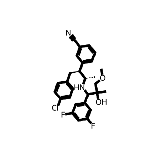 COCC(C)(O)C(N[C@@H](C)[C@@H](Cc1ccc(Cl)cc1)c1cccc(C#N)c1)c1cc(F)cc(F)c1